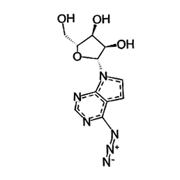 [N-]=[N+]=Nc1ncnc2c1ccn2[C@@H]1O[C@H](CO)[C@@H](O)[C@H]1O